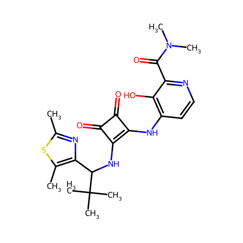 Cc1nc(C(Nc2c(Nc3ccnc(C(=O)N(C)C)c3O)c(=O)c2=O)C(C)(C)C)c(C)s1